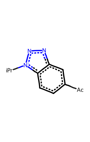 CC(=O)c1ccc2c(c1)nnn2C(C)C